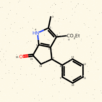 CCOC(=O)c1c(C)[nH]c2c1C(c1ccccc1)CC2=O